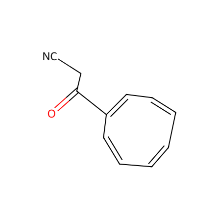 N#CCC(=O)C1=C/C=C\C=C/C=C\1